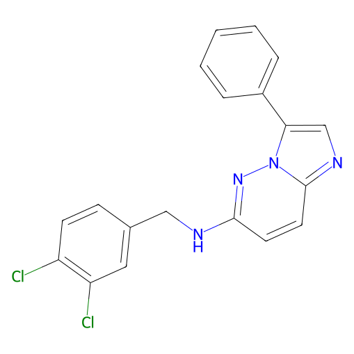 Clc1ccc(CNc2ccc3ncc(-c4ccccc4)n3n2)cc1Cl